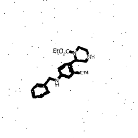 CCOC(=O)N1CCNCC1c1ccc(NCc2ccccc2)cc1C#N